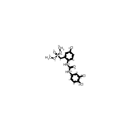 COP(=O)(Cc1cc(Cl)ccc1NC(=O)Nc1ccc(Cl)c(Cl)c1)OC